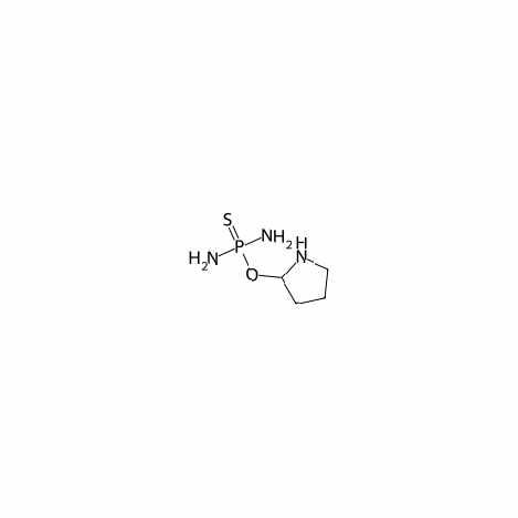 NP(N)(=S)OC1CCCN1